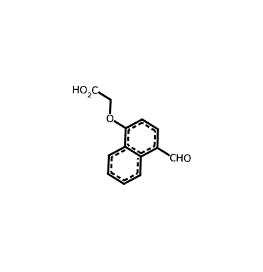 O=Cc1ccc(OCC(=O)O)c2ccccc12